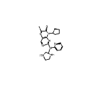 Cc1nc2cnc(N(c3ccccn3)C3CNCCN3)nc2n(C2CCCC2)c1=O